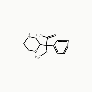 CSC(C(C)=O)(c1ccccc1)C1CNCCO1